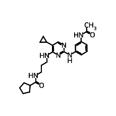 CC(=O)Nc1cccc(Nc2ncc(C3CC3)c(NCCCNC(=O)C3CCCC3)n2)c1